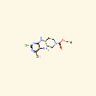 Cc1nc(Cl)nc(NC2CCN(C(=O)OC(C)(C)C)CC2)c1N